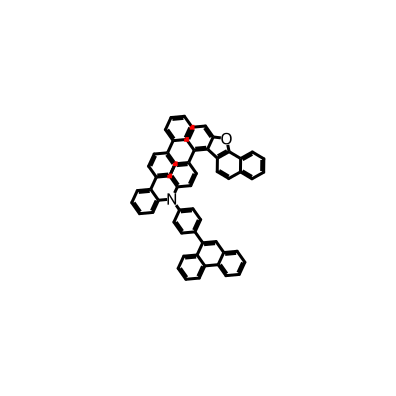 c1ccc(-c2ccc(-c3ccccc3N(c3ccc(-c4cc5ccccc5c5ccccc45)cc3)c3ccc(-c4cccc5oc6c7ccccc7ccc6c45)cc3)cc2)cc1